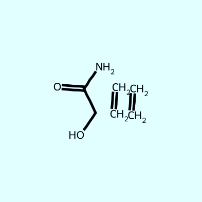 C=C.C=C.NC(=O)CO